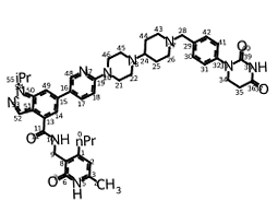 CCCc1cc(C)[nH]c(=O)c1CNC(=O)c1cc(-c2ccc(N3CCN(C4CCN(Cc5ccc(N6CCC(=O)NC6=O)cc5)CC4)CC3)nc2)cc2c1cnn2C(C)C